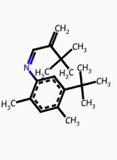 C=C(/C=N\c1cc(C(C)(C)C)c(C)cc1C)C(C)(C)C